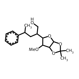 COC1C(C(CO)CC(C)c2ccccc2)OC2OC(C)(C)OC21